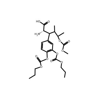 CCCOC(=O)Oc1ccc(C(C(C)C(C)OC(=O)OC)[C@H](N)C(=O)O)cc1OC(=O)OCCC